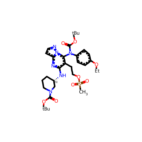 CCOc1ccc(N(C(=O)OC(C)(C)C)c2c(CCOS(C)(=O)=O)c(N[C@H]3CCCN(C(=O)OC(C)(C)C)C3)nc3ccnn23)cc1